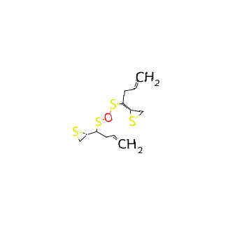 C=CCC(SOSC(CC=C)C1CS1)C1CS1